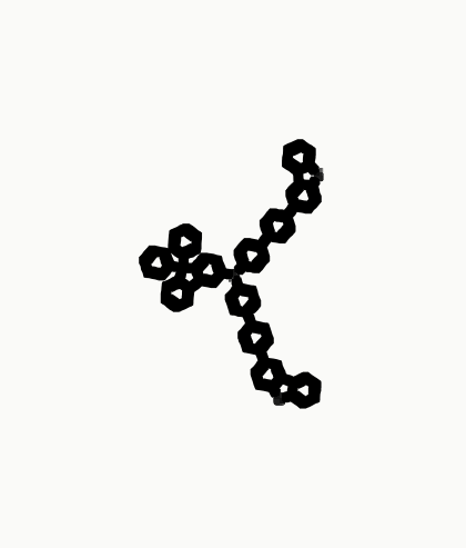 c1ccc(C2(c3ccccc3)c3ccccc3-c3cc(N(c4ccc(-c5ccc(-c6ccc7oc8ccccc8c7c6)cc5)cc4)c4ccc(-c5ccc(-c6ccc7sc8ccccc8c7c6)cc5)cc4)ccc32)cc1